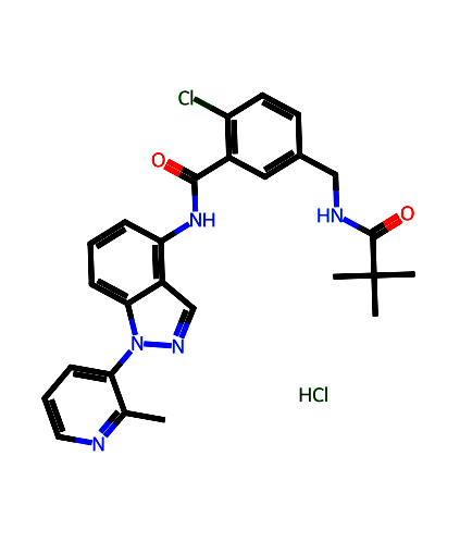 Cc1ncccc1-n1ncc2c(NC(=O)c3cc(CNC(=O)C(C)(C)C)ccc3Cl)cccc21.Cl